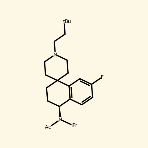 CC(=O)N(C(C)C)[C@H]1CCC2(CCN(CCC(C)(C)C)CC2)c2cc(F)ccc21